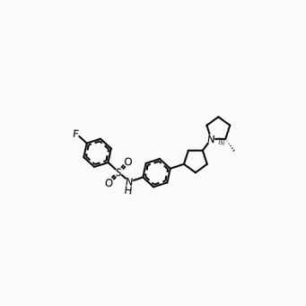 C[C@H]1CCCN1C1CCC(c2ccc(NS(=O)(=O)c3ccc(F)cc3)cc2)C1